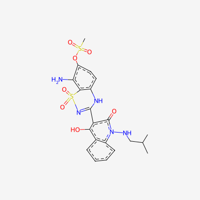 CC(C)CNn1c(=O)c(C2=NS(=O)(=O)c3c(ccc(OS(C)(=O)=O)c3N)N2)c(O)c2ccccc21